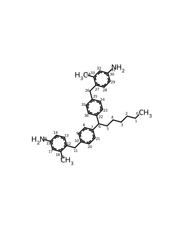 CCCCCCC(c1ccc(Cc2ccc(N)cc2C)cc1)c1ccc(Cc2ccc(N)cc2C)cc1